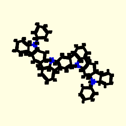 c1ccc(-n2c3ccccc3c3cc4c5cccc6c7cc8c(cc7n(c4cc32)c65)c2cccc3c4cc5c6ccccc6n(-c6ccccc6)c5cc4n8c23)cc1